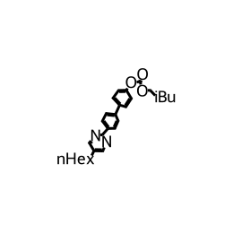 CCCCCCc1cnc(-c2ccc(-c3ccc(OC(=O)OCC(C)CC)cc3)cc2)nc1